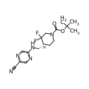 CC(C)(C)OC(=O)N1CC[C@H](CNc2cnc(C#N)cn2)C(F)(F)C1